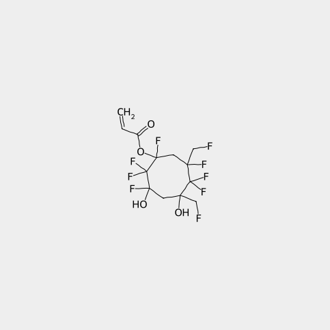 C=CC(=O)OC1(F)CC(F)(CF)C(F)(F)C(O)(CF)CC(O)(F)C1(F)F